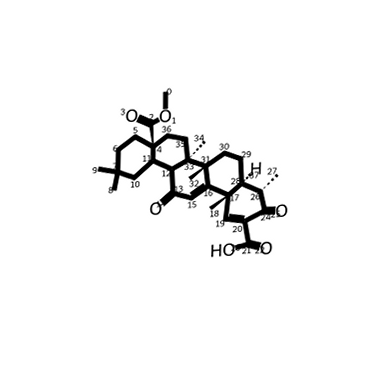 COC(=O)[C@]12CCC(C)(C)CC1C1C(=O)C=C3[C@@]4(C)C=C(C(=O)O)C(=O)[C@@H](C)[C@@H]4CC[C@@]3(C)[C@]1(C)CC2